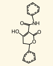 O=C(Nc1ccccc1)C1=C(O)CC(c2ccccc2)OC1=O